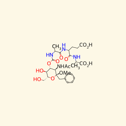 CO[C@@]1(Cc2ccccc2)O[C@H](CO)[C@@H](O)[C@H](OC(=O)NC(C)C(=O)NC(CCC(=O)O)C(=O)NC(C)C(=O)O)[C@H]1NC(C)=O